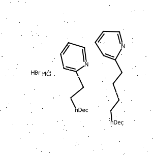 Br.CCCCCCCCCCCCCCc1ccccn1.CCCCCCCCCCCCc1ccccn1.Cl